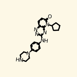 O=c1ccc2nnc(Nc3ccc(N4CCNCC4)cc3)nc2n1C1CCCC1